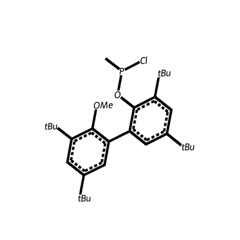 COc1c(-c2cc(C(C)(C)C)cc(C(C)(C)C)c2OP(C)Cl)cc(C(C)(C)C)cc1C(C)(C)C